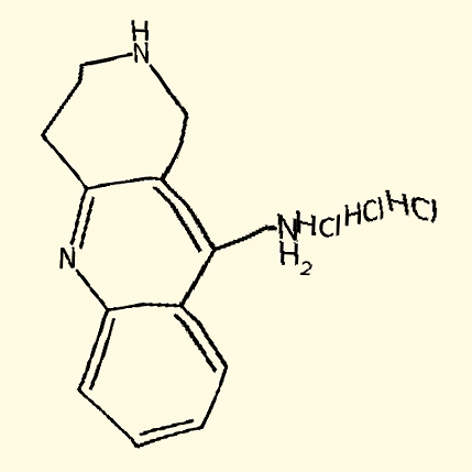 Cl.Cl.Cl.Nc1c2c(nc3ccccc13)CCNC2